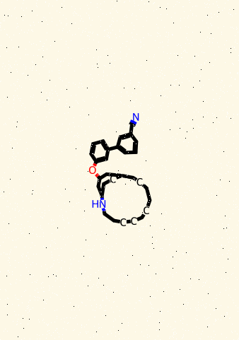 N#Cc1cccc(-c2cccc(OC3CC4CCCCCCCCCCNC(CC4)C3)c2)c1